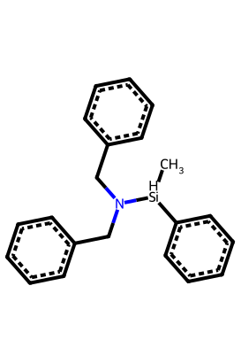 C[SiH](c1ccccc1)N(Cc1ccccc1)Cc1ccccc1